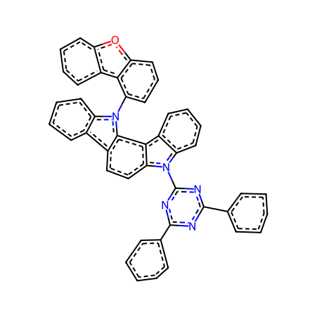 c1ccc(-c2nc(-c3ccccc3)nc(-n3c4ccccc4c4c3ccc3c5ccccc5n(-c5cccc6oc7ccccc7c56)c34)n2)cc1